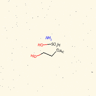 CC(=O)OCCO.N.O=S(=O)(O)O